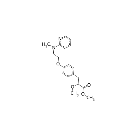 COC(=O)C(Cc1ccc(OCCN(C)c2ccccn2)cc1)OC